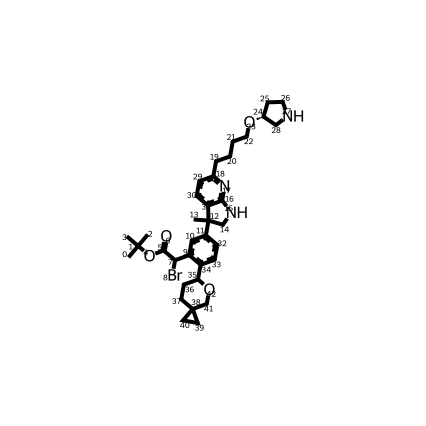 CC(C)(C)OC(=O)C(Br)c1cc(C2(C)CNc3nc(CCCCO[C@@H]4CCNC4)ccc32)ccc1C1CCC2(CC2)CO1